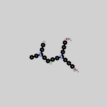 COc1ccc(-c2ccc(-c3ccc(-c4cc(-c5ccc(-c6ccc(-c7ccc(OC)cc7)cc6)cc5)nc(-c5ccc(-c6ccc(-c7cc(-c8ccc(-c9cc(-c%10ccc(-c%11ccc(Cl)cc%11)cc%10)nc(-c%10ccc(-c%11ccccc%11)cc%10)n9)cc8)ccc7Cl)cc6)cc5)n4)cc3)cc2)cc1